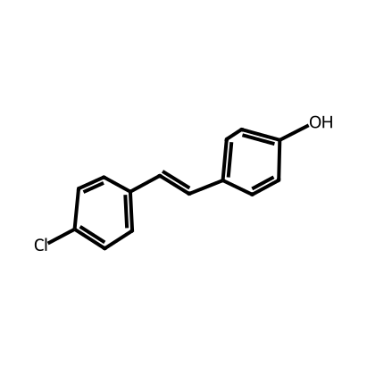 Oc1ccc(C=Cc2ccc(Cl)cc2)cc1